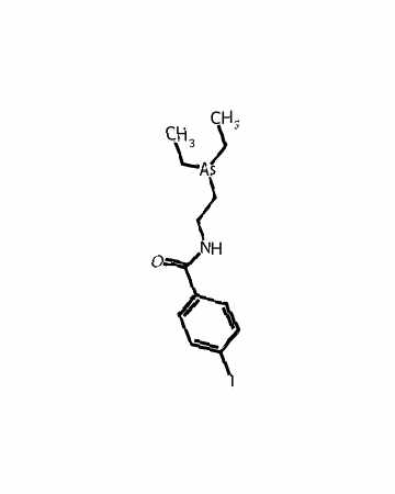 CC[As](CC)CCNC(=O)c1ccc(I)cc1